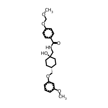 COCOc1ccc(C(=O)NC[C@]2(O)CC[C@H](COc3cccc(OC)c3)CC2)cc1